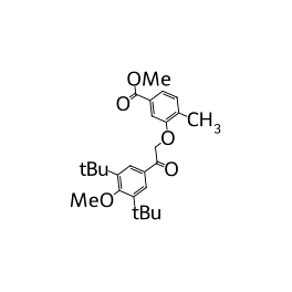 COC(=O)c1ccc(C)c(OCC(=O)c2cc(C(C)(C)C)c(OC)c(C(C)(C)C)c2)c1